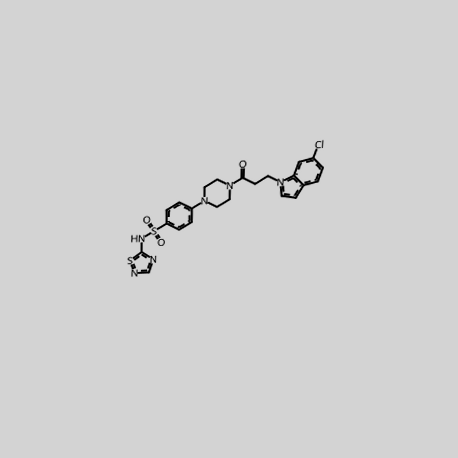 O=C(CCn1ccc2ccc(Cl)cc21)N1CCN(c2ccc(S(=O)(=O)Nc3ncns3)cc2)CC1